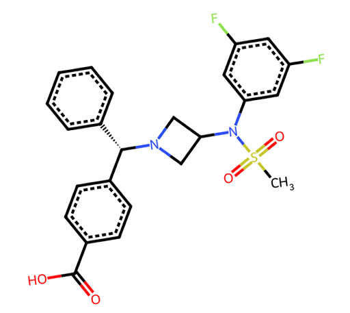 CS(=O)(=O)N(c1cc(F)cc(F)c1)C1CN([C@@H](c2ccccc2)c2ccc(C(=O)O)cc2)C1